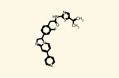 C=C(C)c1cnc(NC(=O)Cc2ccc(C3CN=C4C=C(c5ccncc5)C=CN43)cc2F)s1